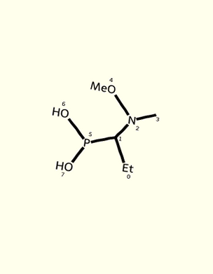 CCC(N(C)OC)P(O)O